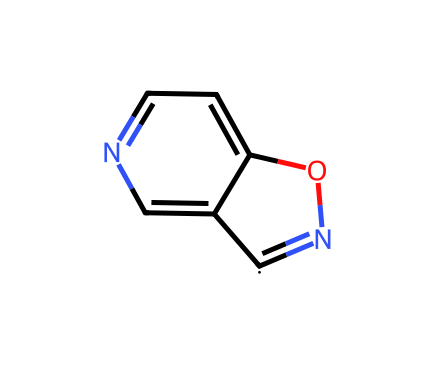 [c]1noc2ccncc12